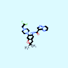 CC1(C)Cc2cc(NC(=O)c3cnn4cccnc34)c(N3CCN(CC(F)F)CC3)cc2O1